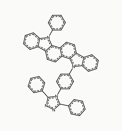 c1ccc(-c2nnc(-c3ccccc3)n2-c2ccc(-n3c4ccccc4c4ccc5c(ccc6c7ccccc7n(-c7ccccc7)c65)c43)cc2)cc1